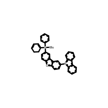 CC(C)(C)[Si](C1=CC=CCC1)(c1ccccc1)c1ccc2oc3ccc(-n4c5ccccc5c5ccccc54)cc3c2c1